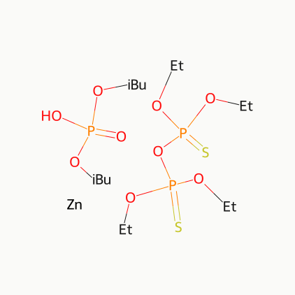 CCC(C)OP(=O)(O)OC(C)CC.CCOP(=S)(OCC)OP(=S)(OCC)OCC.[Zn]